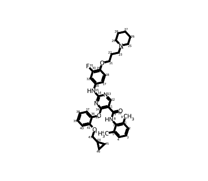 Cc1cccc(C)c1NC(=O)c1cnc(Nc2ccc(OCCCN3CCCCC3)c(F)c2)nc1Oc1ccccc1OCC1CC1